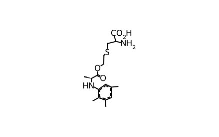 Cc1cc(C)c(C)c(N[C@@H](C)C(=O)OCCSCC(N)C(=O)O)c1